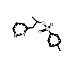 Cc1ccc(S(=O)(=O)OC(C)Cc2cccnn2)cc1